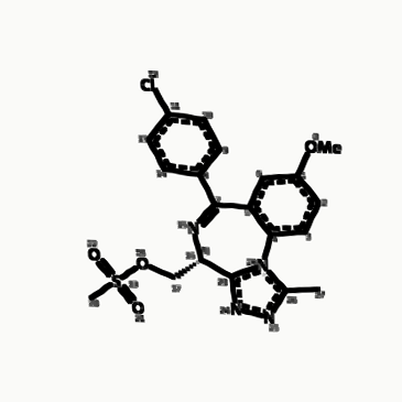 COc1ccc2c(c1)C(c1ccc(Cl)cc1)=N[C@@H](COS(C)(=O)=O)c1nnc(C)n1-2